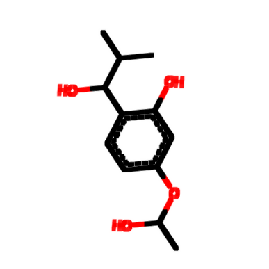 CC(O)Oc1ccc(C(O)C(C)C)c(O)c1